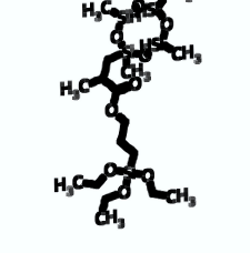 CCO[Si](CCCOC(=O)C(C)C[Si]1(C)O[SiH](C)O[SiH](C)O[SiH](C)O1)(OCC)OCC